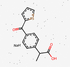 CC(C(=O)O)c1ccc(C(=O)c2cccs2)cc1.[NaH]